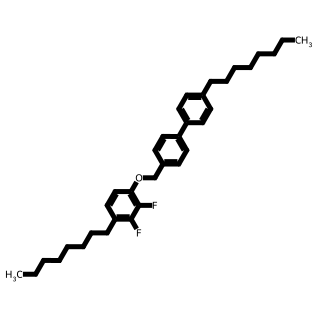 CCCCCCCCc1ccc(-c2ccc(COc3ccc(CCCCCCCC)c(F)c3F)cc2)cc1